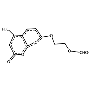 Cc1cc(=O)oc2cc(OCCO[C]=O)ccc12